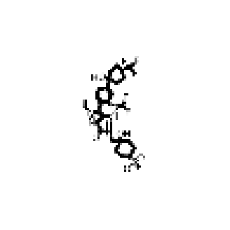 CCn1nc(C(=O)NCC2(O)CCC(S(C)(=O)=O)CC2)c(Cl)c1-c1ccc(C2(O)CCC(C(F)(F)F)CC2)cc1OC(F)F